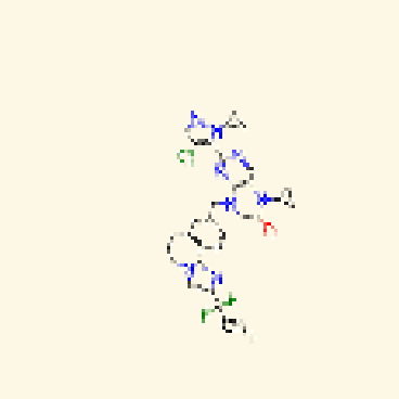 CC(F)(F)c1cn2c(n1)-c1ccc(CN3CC(=O)N(C4CC4)c4cnc(-c5c(Cl)cnn5C5CC5)nc43)cc1CCC2